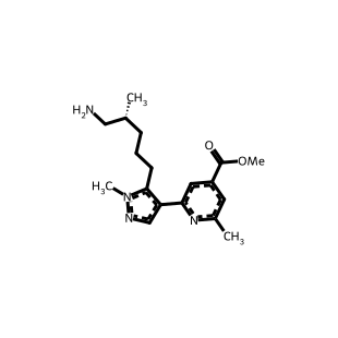 COC(=O)c1cc(C)nc(-c2cnn(C)c2CCC[C@@H](C)CN)c1